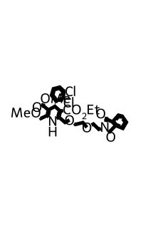 CCOC(=O)C1=C(COCCOCCN2C(=O)c3ccccc3C2=O)NC(COC)=C(C(=O)OC)[C@@H]1c1cccc(Cl)c1Cl